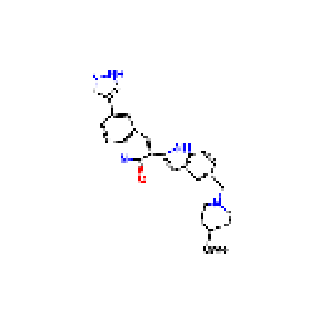 COC1CCN(Cc2ccc3[nH]c(-c4cc5cc(-c6cn[nH]c6)ccc5[nH]c4=O)cc3c2)CC1